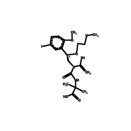 C=C(S)N(C[C@H](OCCOC)c1cc(F)ccc1OC)C(=O)NC(C)(C)C(=O)O